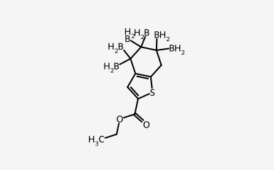 BC1(B)Cc2sc(C(=O)OCC)cc2C(B)(B)C1(B)B